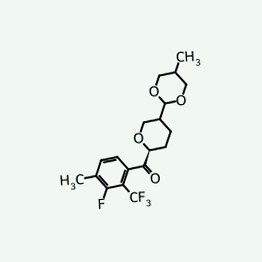 Cc1ccc(C(=O)[C@@H]2CCC(C3OCC(C)CO3)CO2)c(C(F)(F)F)c1F